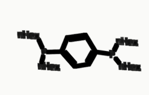 CCCCCCP(CCCCCC)c1ccc(P(CCCCCC)CCCCCC)cc1